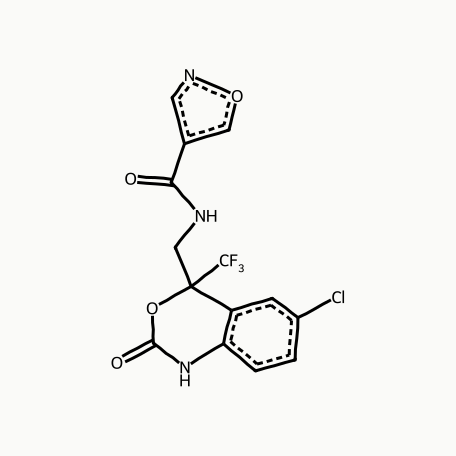 O=C1Nc2ccc(Cl)cc2C(CNC(=O)c2cnoc2)(C(F)(F)F)O1